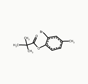 Cc1ccc(OC(=O)C(C)(C)C)c(Br)c1